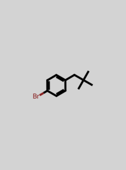 CC(C)(C)Cc1ccc(Br)cc1